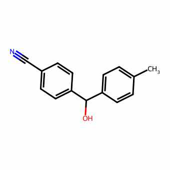 Cc1ccc(C(O)c2ccc(C#N)cc2)cc1